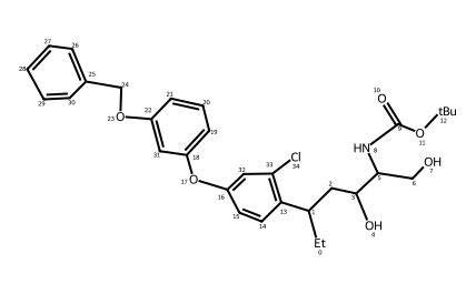 CCC(CC(O)C(CO)NC(=O)OC(C)(C)C)c1ccc(Oc2cccc(OCc3ccccc3)c2)cc1Cl